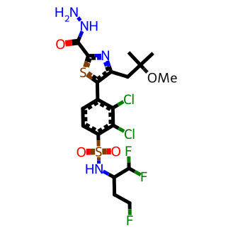 COC(C)(C)Cc1nc(C(=O)NN)sc1-c1ccc(S(=O)(=O)NC(CCF)C(F)F)c(Cl)c1Cl